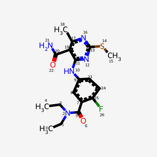 CCN(CC)C(=O)c1cc(Nc2nc(SC)nc(C)c2C(N)=O)ccc1F